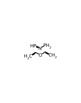 C=COC=C.P=NP